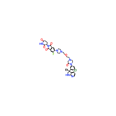 CCC1(c2cccc(N3CCN(CCOCCN4CCN(c5cc6c(cc5F)C(=O)N(C5CCC(=O)NC5=O)C6=O)CC4)CC3=O)c2)CNc2nccc(Cl)c21